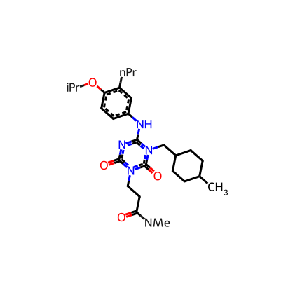 CCCc1cc(Nc2nc(=O)n(CCC(=O)NC)c(=O)n2CC2CCC(C)CC2)ccc1OC(C)C